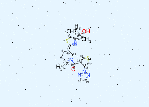 Cc1sc([C@@H]2CC[C@@H](C)N(C(=O)c3cscc3-n3nccn3)C2)nc1C(C)(C)O